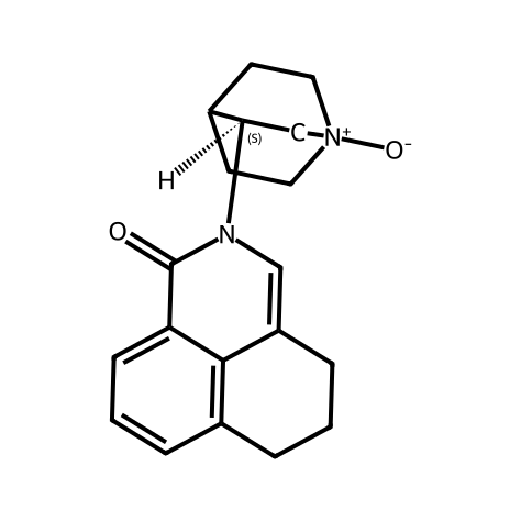 O=c1c2cccc3c2c(cn1[C@@H]1C[N+]2([O-])CCC1CC2)CCC3